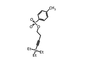 CC[Si](C#CCCOS(=O)(=O)c1ccc(C)cc1)(CC)CC